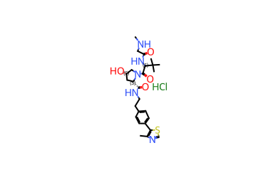 CNCC(=O)N[C@H](C(=O)N1C[C@@H](O)C[C@H]1C(=O)NCCc1ccc(-c2scnc2C)cc1)C(C)(C)C.Cl